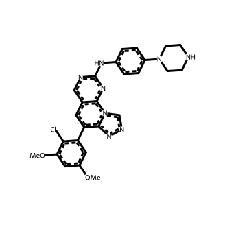 COc1cc(OC)c(Cl)c(-c2cc3cnc(Nc4ccc(N5CCNCC5)cc4)nc3n3cnnc23)c1